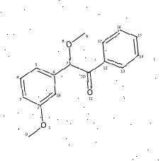 COc1cccc(C(OC)C(=O)c2ccccc2)c1